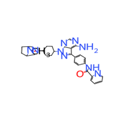 CN1C2CCC1CN(C1CCC(n3nc(-c4ccc(NC(=O)c5ccccn5)cc4)c4c(N)ncnc43)CC1)C2